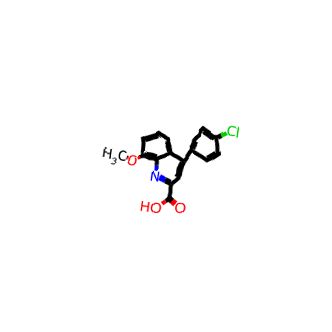 COc1cccc2c(-c3ccc(Cl)cc3)cc(C(=O)O)nc12